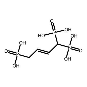 O=P(O)(O)C/C=C/C(P(=O)(O)O)P(=O)(O)O